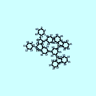 c1ccc(-c2sc3c(-c4ccccc4)nc4ccc(-c5cc(-n6c7ccccc7c7ccccc76)cc(-n6c7ccccc7c7ccccc76)c5)cc4c3c2-c2ccccc2)cc1